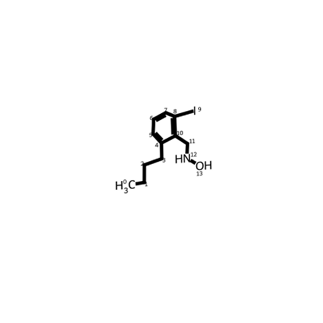 CCCCc1cccc(I)c1CNO